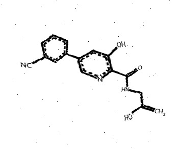 C=C(O)CNC(=O)c1ncc(-c2cccc(C#N)c2)cc1O